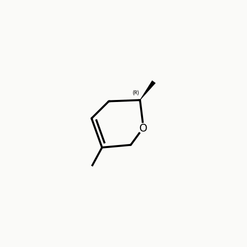 CC1=CC[C@@H](C)OC1